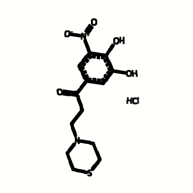 Cl.O=C(CCN1CCSCC1)c1cc(O)c(O)c([N+](=O)[O-])c1